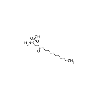 CCCCCCCCCCCC(=O)CCC(N)S(=O)(=O)O